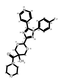 CC1(C(=O)N2CCOCC2)COC(c2nc(-c3ccncc3)n(-c3ccc(F)cc3)n2)OC1